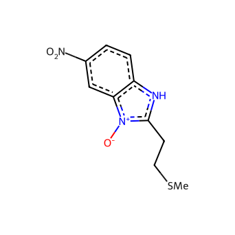 CSCCc1[nH]c2ccc([N+](=O)[O-])cc2[n+]1[O-]